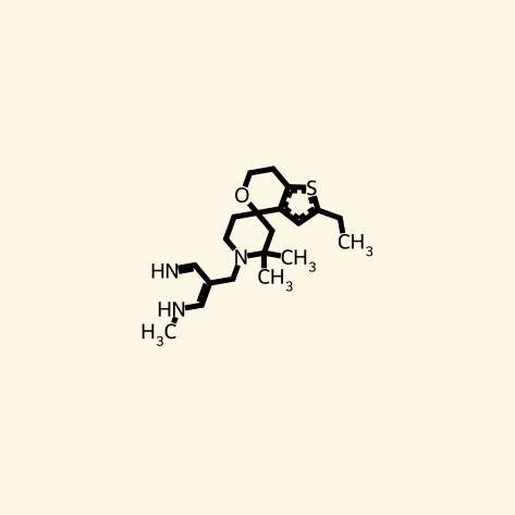 CCc1cc2c(s1)CCOC21CCN(C/C(C=N)=C/NC)C(C)(C)C1